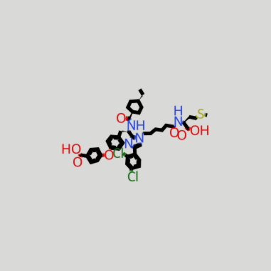 CC[C@H]1CC[C@H](C(=O)N[C@@H](Cc2ccc(Oc3ccc(C(=O)O)cc3)cc2)c2nc(-c3ccc(Cl)cc3Cl)cn2CCCCCC(=O)N[C@@H](CCSC)C(=O)O)CC1